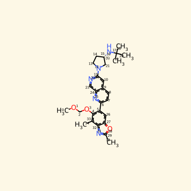 COCOc1c(-c2ccc3cc(N4CC[C@H](NC(C)(C)C)C4)ncc3n2)cc2oc(C)nc2c1C